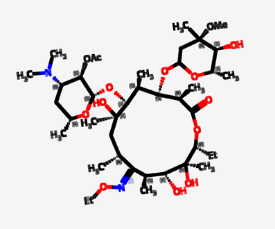 CCO/N=C1\[C@H](C)C[C@@](C)(O)[C@H](O[C@@H]2O[C@H](C)C[C@H](N(C)C)[C@H]2OC(C)=O)[C@@H](C)[C@H](OC2C[C@@](C)(OC)[C@@H](O)[C@H](C)O2)[C@@H](C)C(=O)O[C@H](CC)[C@@](C)(O)[C@H](O)[C@H]1C